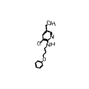 OCc1cnc(NCCCOc2ccccc2)c(Cl)c1